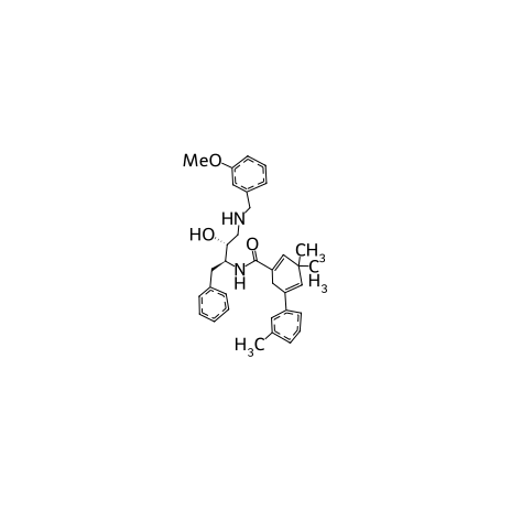 COc1cccc(CNC[C@@H](O)[C@H](Cc2ccccc2)NC(=O)C2=CC(C)(C)C=C(c3cccc(C)c3)C2)c1